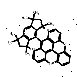 CC1(C)CC(C)(C)c2c1cc1c(c2-c2c3cccc4oc5cccc6oc7cccc2c7c(c43)-c56)C(C)(C)CC1(C)C